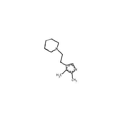 Cc1n[c]n(CCN2CCCCC2)c1C